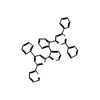 c1ccc(-c2cc(-c3ccccn3)nc(-c3ncccc3-c3ccccc3-c3cc(-c4ccccc4)nc(-c4ccccc4)n3)c2)cc1